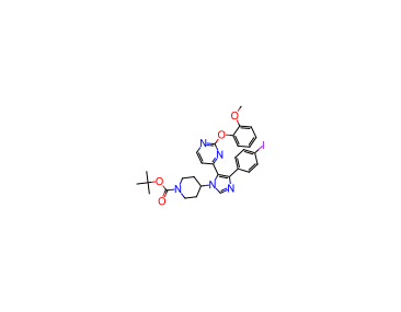 COc1ccccc1Oc1nccc(-c2c(-c3ccc(I)cc3)ncn2C2CCN(C(=O)OC(C)(C)C)CC2)n1